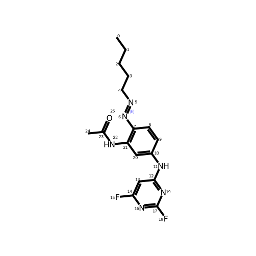 CCCCC/N=N/c1ccc(Nc2cc(F)nc(F)n2)cc1NC(C)=O